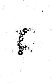 CC[C@H](c1ccccc1)N(C)C(=O)c1csc(C2CCN(C(=O)Cc3cc(C)ccc3C)CC2)n1